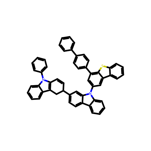 C1=CC(c2ccc3c4ccccc4n(-c4cc(-c5ccc(-c6ccccc6)cc5)c5sc6ccccc6c5c4)c3c2)Cc2c1n(-c1ccccc1)c1ccccc21